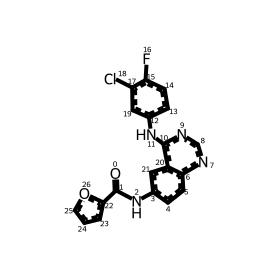 O=C(Nc1ccc2ncnc(Nc3ccc(F)c(Cl)c3)c2c1)c1ccco1